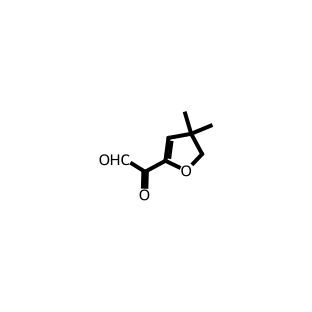 CC1(C)C=C(C(=O)C=O)OC1